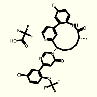 C[C@@H]1CCC[C@H](n2cnc(-c3cc(Cl)ccc3OC(F)(F)F)cc2=O)c2cc(ccn2)-c2cc(F)ccc2NC1=O.O=C(O)C(F)(F)F